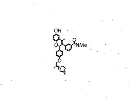 CNC(=O)c1cccc(C2=C(C)c3cc(O)ccc3OC2c2ccc(OC[C@H](C)N3CC[C@@H](C)C3)cc2)c1